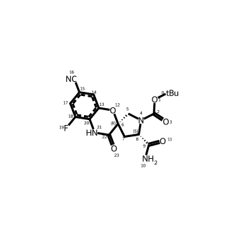 CC(C)(C)OC(=O)N1C[C@@]2(C[C@H]1C(N)=O)Oc1cc(C#N)cc(F)c1NC2=O